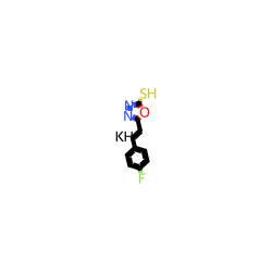 Fc1ccc(/C=C/c2nnc(S)o2)cc1.[KH]